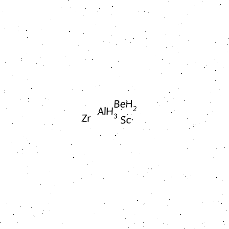 [AlH3].[BeH2].[Sc].[Zr]